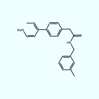 C=C(Cc1ccc(C(/C=C\NC)=C/C)cc1)NCc1cccc(C)c1